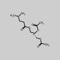 CC(=O)OC[C@H](COC(=O)CCN(C)C)OC(C)=O